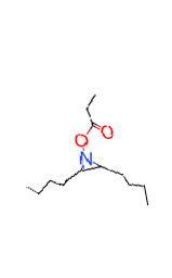 CCCCC1C(CCCC)N1OC(=O)CC